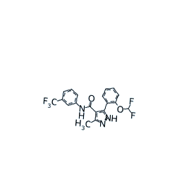 Cc1n[nH]c(-c2ccccc2OC(F)F)c1C(=O)Nc1cccc(C(F)(F)F)c1